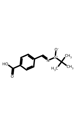 CC(C)(C)[S+]([O-])N=Cc1ccc(C(=O)O)cc1